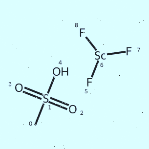 CS(=O)(=O)O.[F][Sc]([F])[F]